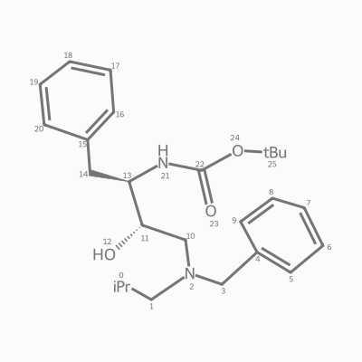 CC(C)CN(Cc1ccccc1)C[C@H](O)[C@@H](Cc1ccccc1)NC(=O)OC(C)(C)C